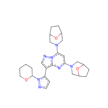 c1cc(-c2cnn3c(N4CC5CCC(C4)O5)cc(N4CC5CCC(C4)O5)nc23)n(C2CCCCO2)n1